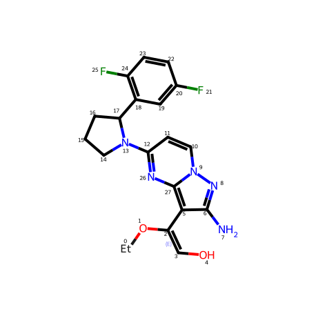 CCO/C(=C/O)c1c(N)nn2ccc(N3CCCC3c3cc(F)ccc3F)nc12